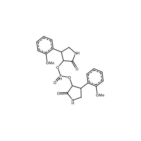 COc1ccccc1C1CNC(=O)C1O[PH](=O)OC1C(=O)NCC1c1ccccc1OC